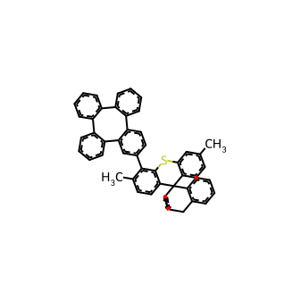 Cc1ccc2c(c1)Sc1c(ccc(C)c1-c1ccc3c(c1)-c1ccccc1-c1ccccc1-c1ccccc1-3)C21c2ccccc2Cc2ccccc21